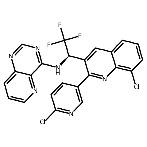 FC(F)(F)[C@H](Nc1ncnc2cccnc12)c1cc2cccc(Cl)c2nc1-c1ccc(Cl)nc1